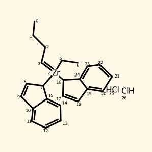 CCC[CH]=[Zr]([CH2]C)([CH]1C=Cc2ccccc21)[CH]1C=Cc2ccccc21.Cl.Cl